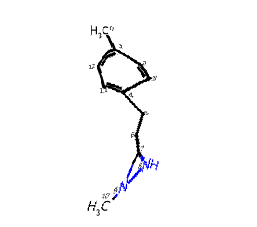 Cc1ccc(CCC2NN2C)cc1